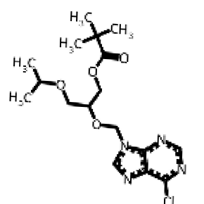 CC(C)OCC(COC(=O)C(C)(C)C)OCn1cnc2c(Cl)ncnc21